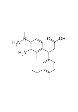 CCc1cc(C(CC(=O)O)c2ccc(N(C)N)c(N)c2C)ccc1C